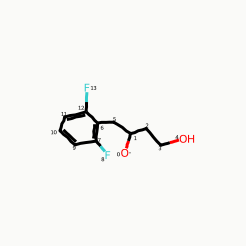 [O]C(CCO)Cc1c(F)cccc1F